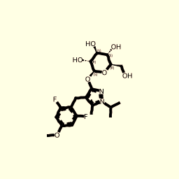 COc1cc(F)c(Cc2c(O[C@@H]3O[C@H](CO)[C@@H](O)[C@H](O)[C@H]3O)nn(C(C)C)c2C)c(F)c1